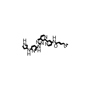 CN(C)CC=CC(=O)Nc1ccnc(-c2nccc3cnc(Nc4ccc(NC5CCNC5)nc4)nc23)c1